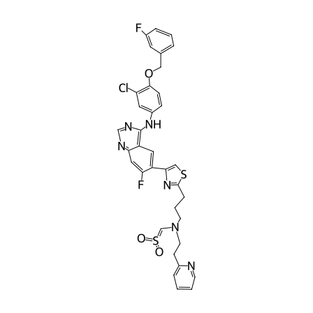 O=S(=O)=CN(CCCc1nc(-c2cc3c(Nc4ccc(OCc5cccc(F)c5)c(Cl)c4)ncnc3cc2F)cs1)CCc1ccccn1